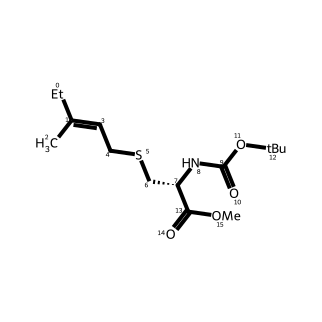 CCC(C)=CCSC[C@H](NC(=O)OC(C)(C)C)C(=O)OC